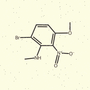 CNc1c(Br)ccc(OC)c1[N+](=O)[O-]